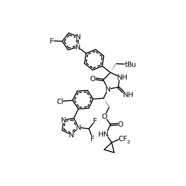 CC(C)(C)C[C@]1(c2ccc(-n3cc(F)cn3)cc2)NC(=N)N([C@H](COC(=O)NC2(C(F)(F)F)CC2)c2ccc(Cl)c(-c3ncnn3C(F)F)c2)C1=O